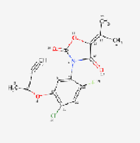 C#CC(C)Oc1cc(N2C(=O)OC(=C(C)C)C2=O)c(F)cc1Cl